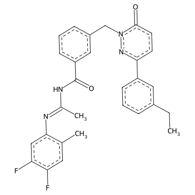 CCc1cccc(-c2ccc(=O)n(Cc3cccc(C(=O)N/C(C)=N/c4cc(F)c(F)cc4C)c3)n2)c1